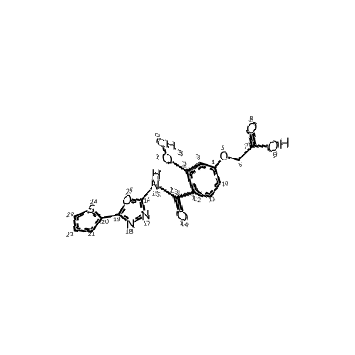 COc1cc(OCC(=O)O)ccc1C(=O)Nc1nnc(-c2cccs2)o1